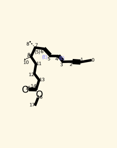 CC#C/C=C/C=C/[C@@H](C)[C@@H](C)CCCC(=O)OC